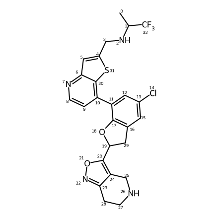 CC(NCc1cc2nccc(-c3cc(Cl)cc4c3OC(c3onc5c3CNCC5)C4)c2s1)C(F)(F)F